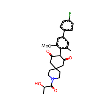 COc1cc(-c2ccc(F)cc2)cc(C)c1C1C(=O)CC2(CCN(C(=O)C(C)O)CC2)CC1=O